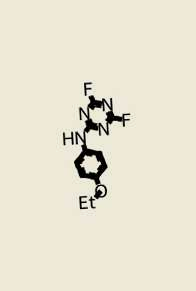 CCOc1ccc(Nc2nc(F)nc(F)n2)cc1